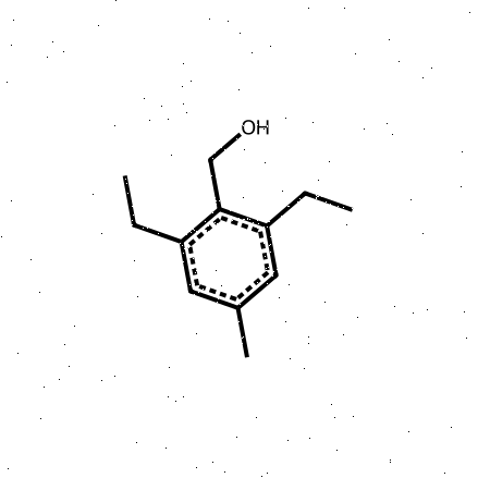 CCc1cc(C)cc(CC)c1CO